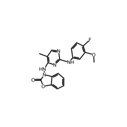 COc1cc(Nc2ncc(C)c(Nn3c(=O)oc4ccccc43)n2)ccc1F